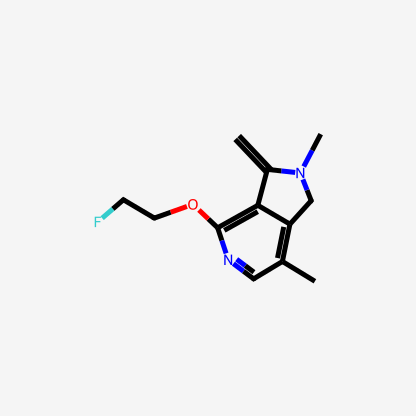 C=C1c2c(OCCF)ncc(C)c2CN1C